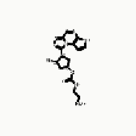 CC[C@@H]1C[C@H](OC(=O)NCCNC)C[C@@H]1c1nnc2cnc3[nH]ccc3n12